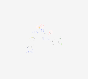 CN1C(C(=O)Nc2ccc(F)c(Cl)c2)CC(c2cc(-c3cnn(C)c3)cs2)NS1(=O)=O